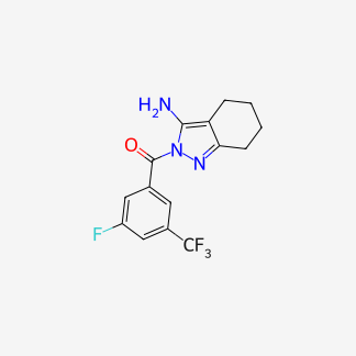 Nc1c2c(nn1C(=O)c1cc(F)cc(C(F)(F)F)c1)CCCC2